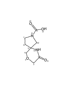 O=C1COCC2(CCN(C(=O)O)C2)N1